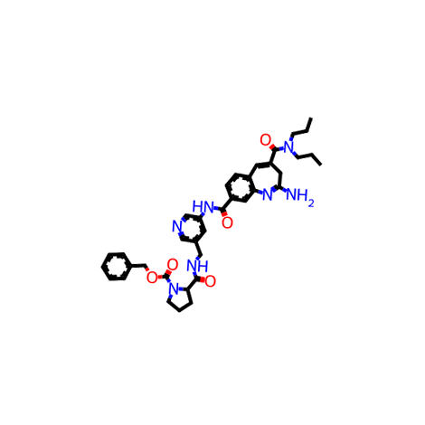 CCCN(CCC)C(=O)C1=Cc2ccc(C(=O)Nc3cncc(CNC(=O)C4CCCN4C(=O)OCc4ccccc4)c3)cc2N=C(N)C1